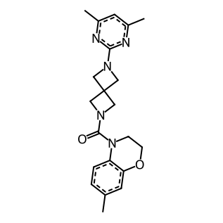 Cc1ccc2c(c1)OCCN2C(=O)N1CC2(C1)CN(c1nc(C)cc(C)n1)C2